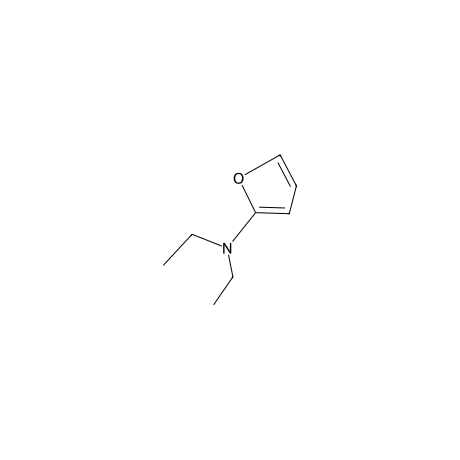 CCN(CC)c1ccco1